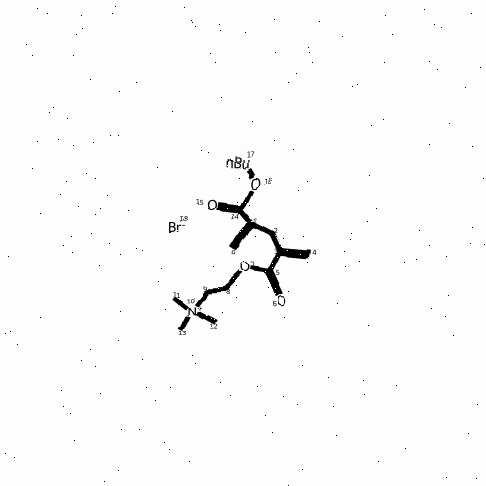 C=C(CC(=C)C(=O)OCC[N+](C)(C)C)C(=O)OCCCC.[Br-]